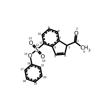 CC(=O)C1C=Cc2c1cccc2S(=O)(=O)Oc1ccccc1